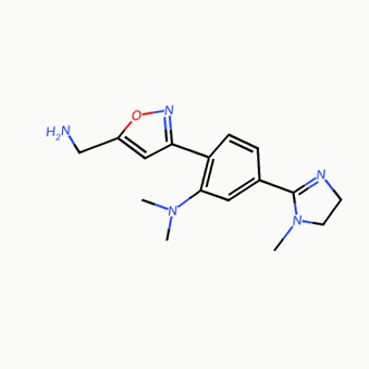 CN1CCN=C1c1ccc(-c2cc(CN)on2)c(N(C)C)c1